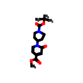 COC(=O)c1ccn(C2CCN(C(=O)OC(C)(C)C)CC2)c(=O)c1